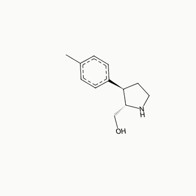 Cc1ccc([C@H]2CCN[C@@H]2CO)cc1